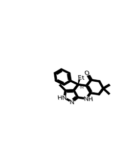 CC[C@@]1(c2ccccc2)C2=C(CC(C)(C)CC2=O)Nc2n[nH]c(C)c21